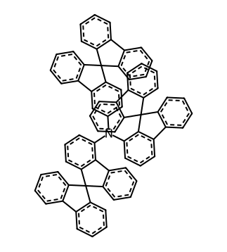 c1ccc2c(c1)-c1ccccc1C21c2ccccc2-c2cc(N(c3cccc4c3-c3ccccc3C43c4ccccc4-c4ccccc43)c3cccc4c3C3(c5ccccc5-c5ccccc53)c3ccccc3-4)ccc21